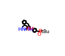 CC(C)(C)OC(=O)c1ccc(NCC(Cc2ccccc2)C2(O)CCCNC2)cc1